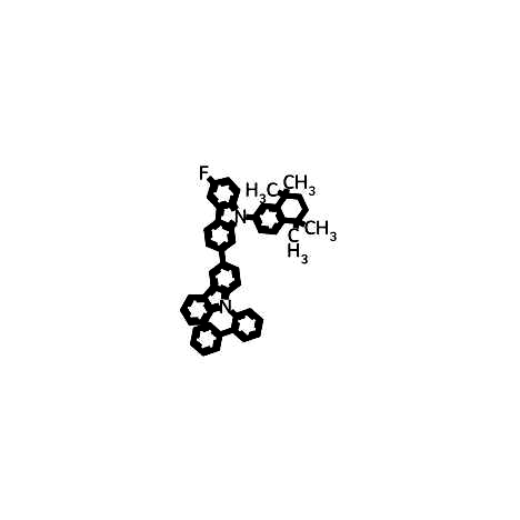 CC1(C)CCC(C)(C)c2cc(-n3c4ccc(F)cc4c4ccc(-c5ccc6c(c5)c5ccccc5n6-c5ccccc5-c5ccccc5)cc43)ccc21